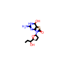 CC[C@H](O)[C@@H]1CC[C@H](n2c3c(sc2=O)C(O)NC(N)=N3)O1